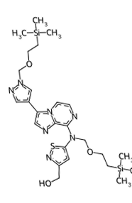 C[Si](C)(C)CCOCN(c1cc(CO)ns1)c1nccn2c(-c3cnn(COCC[Si](C)(C)C)c3)cnc12